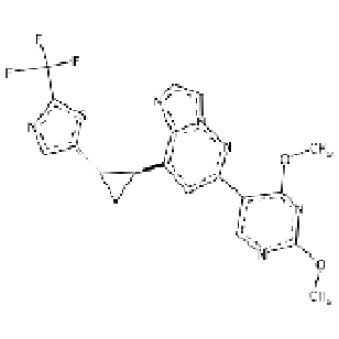 COc1ncc(-c2cc([C@H]3C[C@@H]3c3cnc(C(F)(F)F)s3)c3nccn3n2)c(OC)n1